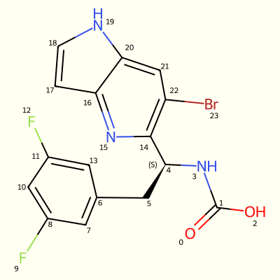 O=C(O)N[C@@H](Cc1cc(F)cc(F)c1)c1nc2cc[nH]c2cc1Br